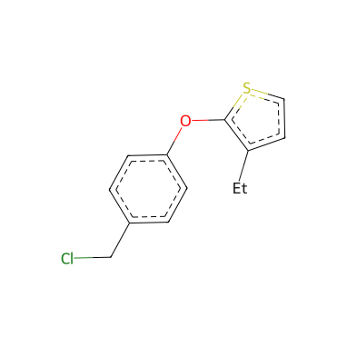 CCc1ccsc1Oc1ccc(CCl)cc1